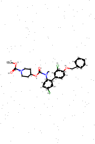 CN(C(=O)OC1CCN(C(=O)OC(C)(C)C)CC1)c1ccc(F)cc1-c1ccc(OCc2ccccc2)c(Cl)c1